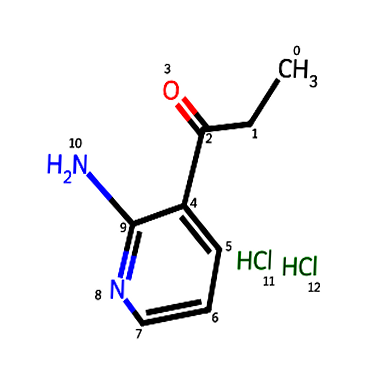 CCC(=O)c1cccnc1N.Cl.Cl